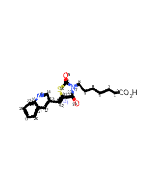 O=C(O)CCCCCCN1C(=O)S/C(=C\c2cnc3ccccc3c2)C1=O